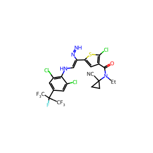 CCN(C(=O)c1cc(/C(=C/Nc2c(Cl)cc(C(F)(C(F)(F)F)C(F)(F)F)cc2Cl)N=N)sc1Cl)C1(C#N)CC1